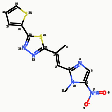 C/C(=C\c1ncc([N+](=O)[O-])n1C)c1nnc(-c2cccs2)s1